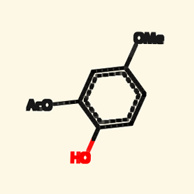 COc1ccc(O)c(OC(C)=O)c1